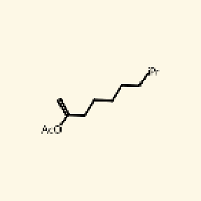 C=C(CCCCCC(C)C)OC(C)=O